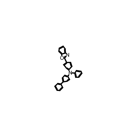 c1ccc(-c2ccc(N(c3ccccc3)c3ccc(-c4nc5ccccc5o4)cc3)cc2)cc1